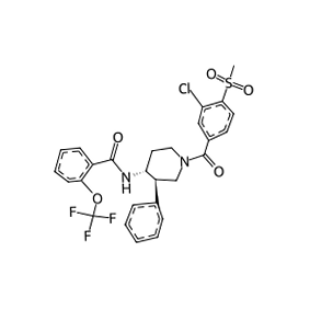 CS(=O)(=O)c1ccc(C(=O)N2CC[C@@H](NC(=O)c3ccccc3OC(F)(F)F)[C@H](c3ccccc3)C2)cc1Cl